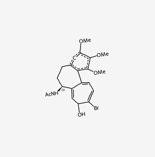 COc1cc2c(c(OC)c1OC)C1=CC=C(Br)C(O)C=C1[C@@H](NC(C)=O)CC2